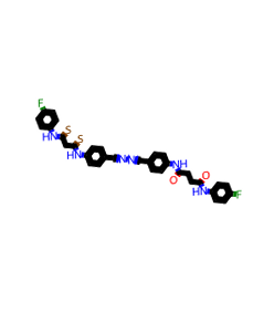 O=C(CCC(=O)Nc1ccc(C#[N+][N+]#Cc2ccc(NC(=S)CC(=S)Nc3ccc(F)cc3)cc2)cc1)Nc1ccc(F)cc1